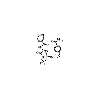 COc1ccc(C(N)=O)cc1.N#CC1(C2CC2)CC(F)(F)CN1C(=O)CNC(=O)c1ccncc1